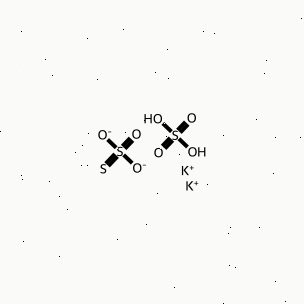 O=S(=O)(O)O.O=S([O-])([O-])=S.[K+].[K+]